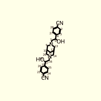 N#Cc1ccc(C(O)CN2CC3CC(C2)CN(CC(O)c2ccc(C#N)cc2)C3)cc1